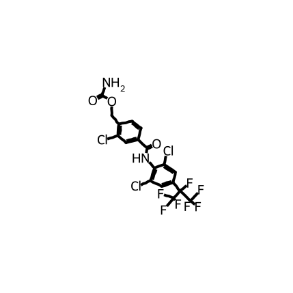 NC(=O)OCc1ccc(C(=O)Nc2c(Cl)cc(C(F)(C(F)(F)F)C(F)(F)F)cc2Cl)cc1Cl